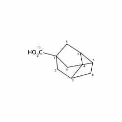 O=C(O)C12CC3CC(C1)C(C3)C2